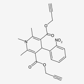 C#CCOC(=O)C1=C(C)N(C)C(C)=C(C(=O)OCC#C)C1c1ccccc1[N+](=O)[O-]